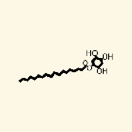 CCCCCCCCCCCCCCCCCC(=O)OC1CC(O)C(O)CC1O